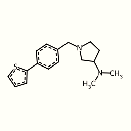 CN(C)C1CCN(Cc2ccc(-c3cccs3)cc2)C1